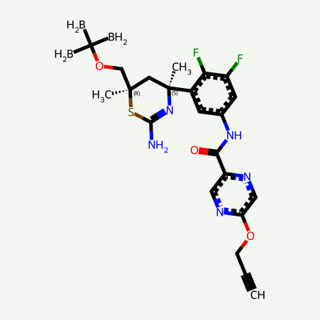 BC(B)(B)OC[C@@]1(C)C[C@@](C)(c2cc(NC(=O)c3cnc(OCC#C)cn3)cc(F)c2F)N=C(N)S1